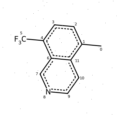 Cc1ccc(C(F)(F)F)c2cnccc12